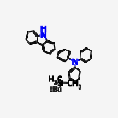 C[Si](C)C(C)(C)C.c1ccc(N(c2ccccc2)c2ccccc2)cc1.c1ccc2c(c1)[nH]c1ccccc12